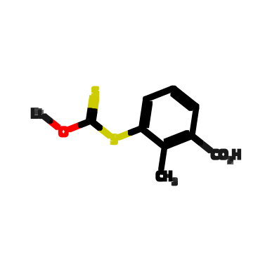 CCOC(=S)Sc1cccc(C(=O)O)c1C